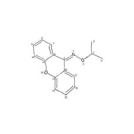 CC(C)ON=c1c2ccccc2oc2ccccc12